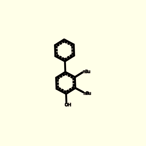 CCCCc1c(O)ccc(-c2ccccc2)c1CCCC